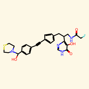 O=C(CF)NCC(Cc1ccc(C#Cc2ccc(C(O)N3CCSCC3)cc2)cc1)c1nc[nH]c(=O)c1O